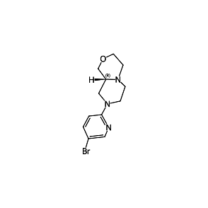 Brc1ccc(N2CCN3CCOC[C@H]3C2)nc1